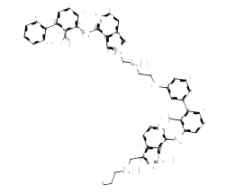 OCCNCc1n[nH]c2c(Nc3cccc(-c4cccc(OCCNCn5cc6ccnc(Nc7cccc(-c8ccccc8)c7Cl)c6c5)c4)c3Cl)nccc12